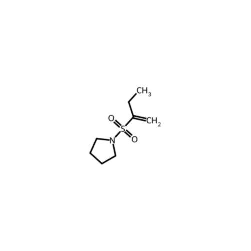 C=C(CC)S(=O)(=O)N1CCCC1